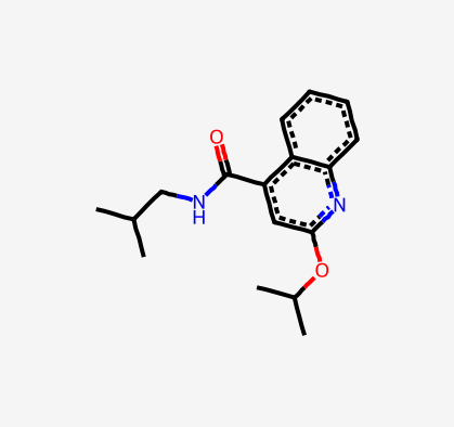 CC(C)CNC(=O)c1cc(OC(C)C)nc2ccccc12